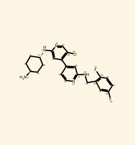 N[C@H]1CC[C@H](Nc2cc(-c3ccnc(NCc4cc(F)ccc4F)c3)c(Cl)cn2)CC1